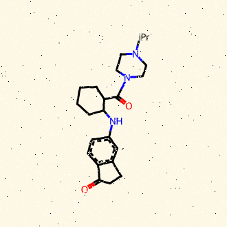 CC(C)N1CCN(C(=O)C2CCCCC2Nc2ccc3c(c2)CCC3=O)CC1